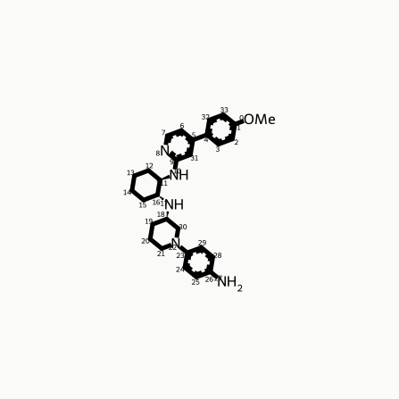 COc1ccc(-c2ccnc(N[C@@H]3CCCC[C@H]3N[C@H]3CCCN(c4ccc(N)cc4)C3)c2)cc1